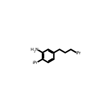 CC(C)CCCc1ccc(C(C)C)c(N)c1